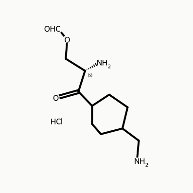 Cl.NCC1CCC(C(=O)[C@@H](N)COC=O)CC1